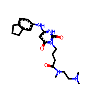 CN(C)CCN(C)C(=O)CCCn1c(=O)cc(Nc2ccc3c(c2)CCC3)[nH]c1=O